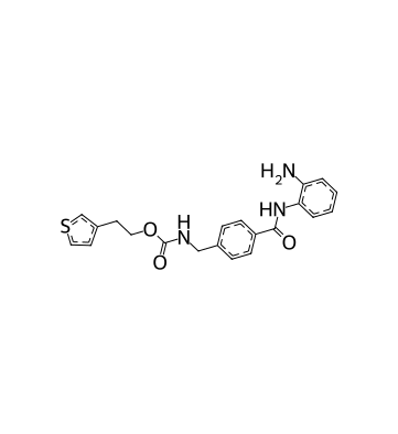 Nc1ccccc1NC(=O)c1ccc(CNC(=O)OCCc2ccsc2)cc1